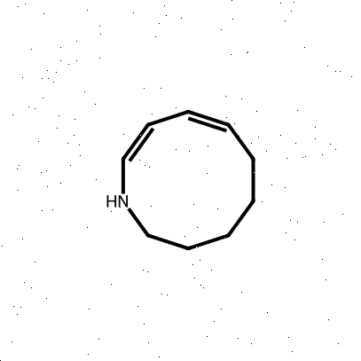 C1=CCCCCCNC=C1